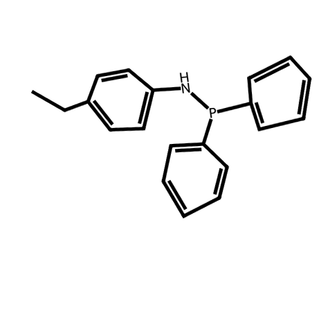 CCc1ccc(NP(c2ccccc2)c2ccccc2)cc1